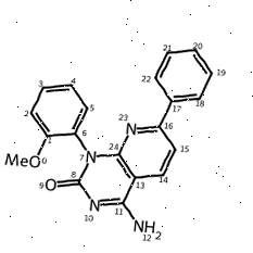 COc1ccccc1-n1c(=O)nc(N)c2ccc(-c3ccccc3)nc21